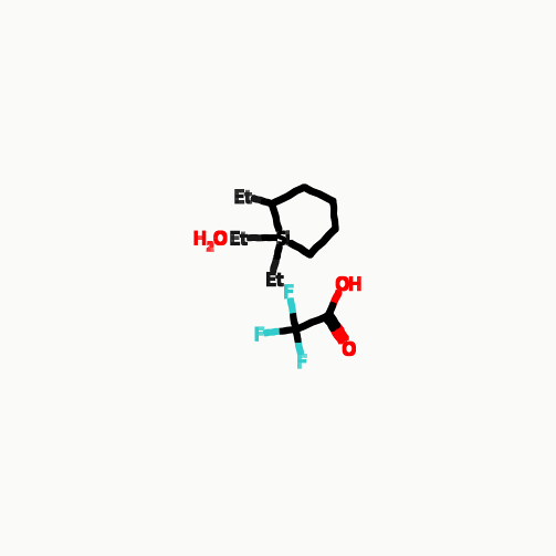 CCC1CCCC[Si]1(CC)CC.O.O=C(O)C(F)(F)F